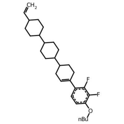 C=CC1CCC(C2CCC(C3CC=C(c4ccc(OCCCC)c(F)c4F)CC3)CC2)CC1